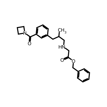 CC(CNCC(=O)OCc1ccccc1)Cc1cccc(C(=O)N2CCC2)c1